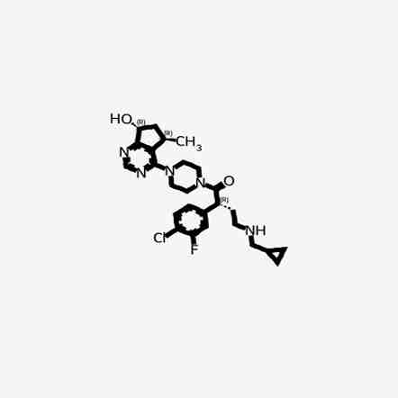 C[C@@H]1C[C@@H](O)c2ncnc(N3CCN(C(=O)[C@H](CCNCC4CC4)c4ccc(Cl)c(F)c4)CC3)c21